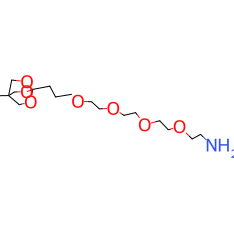 CC12COC(CCCOCCOCCOCCOCCN)(OC1)OC2